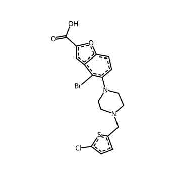 O=C(O)c1cc2c(Br)c(N3CCN(Cc4ccc(Cl)s4)CC3)ccc2o1